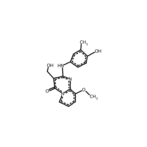 COc1cccn2c(=O)c(CO)c(Nc3ccc(O)c(C)c3)nc12